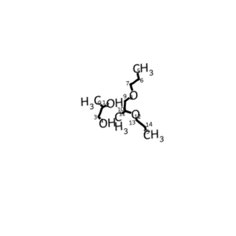 CC(O)CO.CCCOCC(C)OCCC